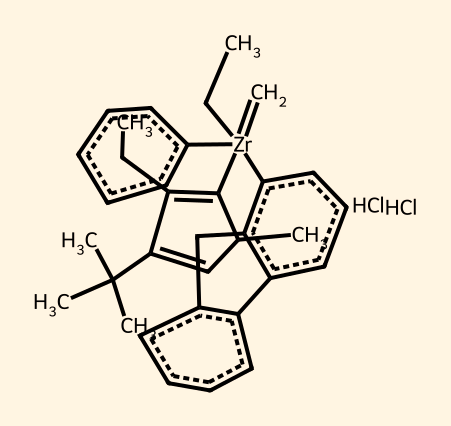 Cl.Cl.[CH2]=[Zr]([CH2]C)([C]1=C(CC)C(C(C)(C)C)=CC1C)([c]1ccccc1)[c]1cccc2c1Cc1ccccc1-2